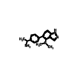 CC(N)c1ccc(-c2ccc3[nH]ncc3c2N(C)C)cc1